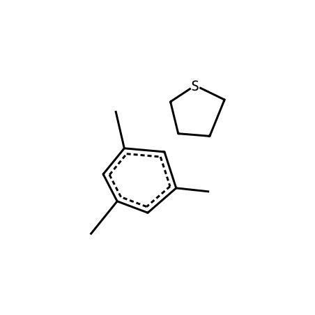 C1CCSC1.Cc1cc(C)cc(C)c1